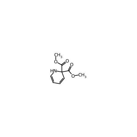 COC(=O)C1(C(=O)OC)C=CC=CN1